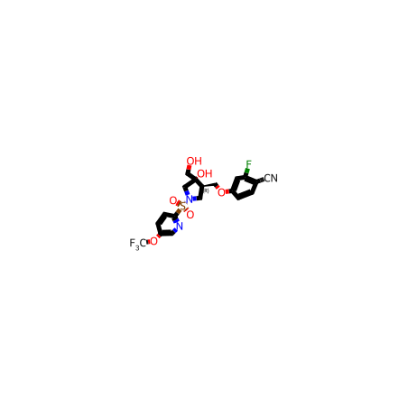 N#Cc1ccc(OC[C@H]2CN(S(=O)(=O)c3ccc(OC(F)(F)F)cn3)C[C@@]2(O)CO)cc1F